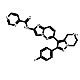 O=C(Nc1cn2nc(-c3c(-c4ccc(F)cc4)nn4c3CNCC4)ccc2n1)c1ccncn1